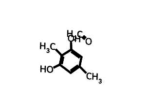 C=O.Cc1cc(O)c(C)c(O)c1